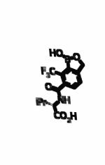 CC(C)[C@H](NC(=O)c1ccc2c(c1C(F)(F)F)B(O)OC2)C(=O)O